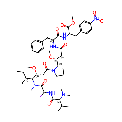 CC[C@H](C)C([C@@H](CC(=O)N1CCC[C@H]1[C@H](OC)[C@@H](C)C(=O)N[C@@H](Cc1ccccc1)C(=O)NC(Cc1ccc([N+](=O)[O-])cc1)C(=O)OC)OC)N(C)C(=O)C(I)NC(=O)[C@H](C(C)C)N(C)C